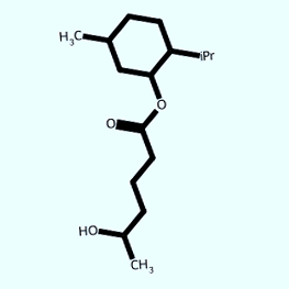 CC(O)CCCC(=O)OC1CC(C)CCC1C(C)C